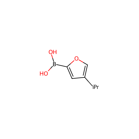 CC(C)c1coc(B(O)O)c1